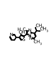 CCC(CC)c1cc(C)nn2c(-c3scc(C4C=NC=CC4)c3C)c(C)nc12